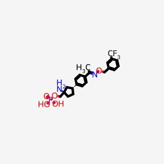 C/C(=N\OCc1cccc(C(F)(F)F)c1)c1ccc([C@@H]2CC[C@](N)(COP(=O)(O)O)C2)cc1